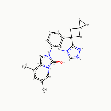 Cn1cnnc1C1(c2cccc(-n3cc4c(C(F)(F)F)cc(C#N)cn4c3=O)c2)CC2(CC2)C1